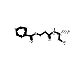 O=C(CCSC(=O)c1ccccc1)N[C@@H](CS)C(=O)O